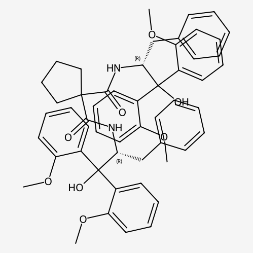 COc1ccccc1C(O)(c1ccccc1OC)[C@@H](Cc1ccccc1)NC(=O)C1(C(=O)N[C@H](Cc2ccccc2)C(O)(c2ccccc2OC)c2ccccc2OC)CCCC1